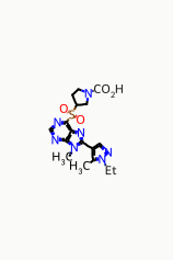 CCn1ncc(-c2nc3c(S(=O)(=O)C4CCN(C(=O)O)C4)ncnc3n2C)c1C